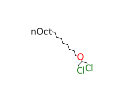 CCCCCCCCCCCCCCCCOC(CCl)CCl